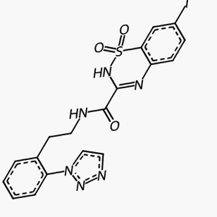 O=C(NCCc1ccccc1-n1ccnn1)C1=Nc2ccc(I)cc2S(=O)(=O)N1